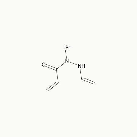 C=CNN(C(=O)C=C)C(C)C